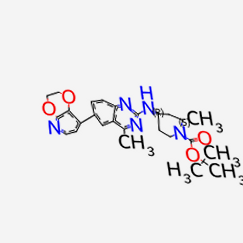 Cc1nc(N[C@@H]2CCN(C(=O)OC(C)(C)C)[C@@H](C)C2)nc2ccc(-c3ccnc4c3OCCO4)cc12